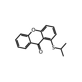 CC(C)Sc1cccc2oc3ccccc3c(=O)c12